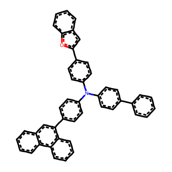 c1ccc(-c2ccc(N(c3ccc(-c4cc5ccccc5o4)cc3)c3ccc(-c4cc5ccccc5c5ccccc45)cc3)cc2)cc1